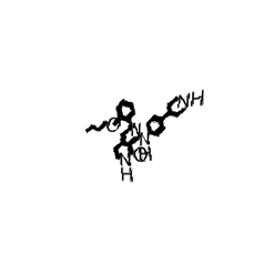 CCCCOc1ccccc1-c1cc2cc[nH]c(=O)c2c(Nc2ccc(C3CCNCC3)cc2)n1